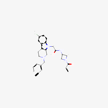 C#C/C=C(\C=C/C)CN1CCc2c(n(CC(=O)NC3CN(C(=O)C=C)C3)c3ccc(Br)cc23)C1